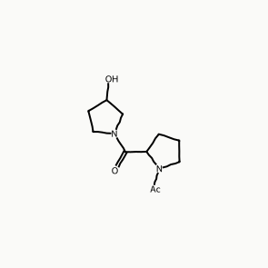 CC(=O)N1CCCC1C(=O)N1CCC(O)C1